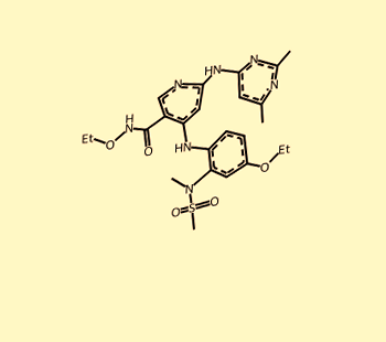 CCONC(=O)c1cnc(Nc2cc(C)nc(C)n2)cc1Nc1ccc(OCC)cc1N(C)S(C)(=O)=O